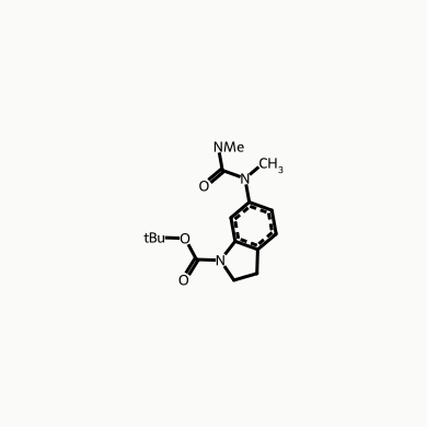 CNC(=O)N(C)c1ccc2c(c1)N(C(=O)OC(C)(C)C)CC2